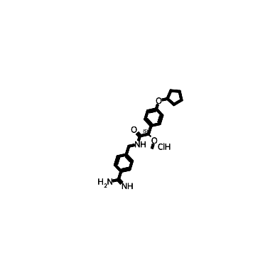 CO[C@H](C(=O)NCc1ccc(C(=N)N)cc1)c1ccc(OC2CCCC2)cc1.Cl